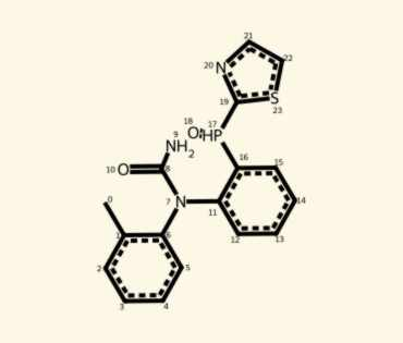 Cc1ccccc1N(C(N)=O)c1ccccc1[PH](=O)c1nccs1